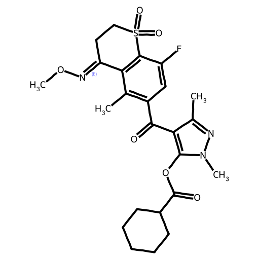 CO/N=C1\CCS(=O)(=O)c2c(F)cc(C(=O)c3c(C)nn(C)c3OC(=O)C3CCCCC3)c(C)c21